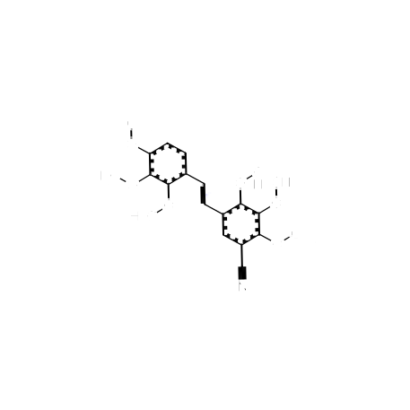 COc1ccc(/C=C/c2cc(C#N)c(OC)c(OC)c2OC)c(OC)c1OC